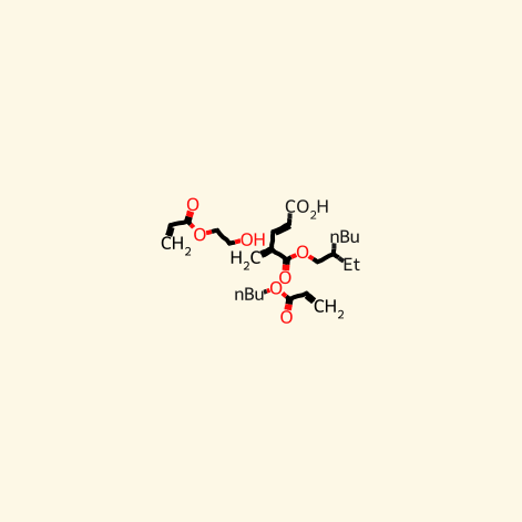 C=C(C=CC(=O)O)C(=O)OCC(CC)CCCC.C=CC(=O)OCCCC.C=CC(=O)OCCO